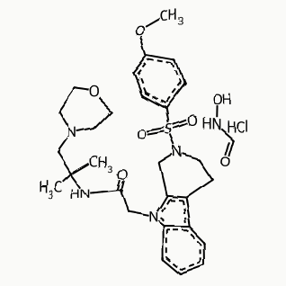 COc1ccc(S(=O)(=O)N2CCc3c(n(CC(=O)NC(C)(C)CN4CCOCC4)c4ccccc34)C2)cc1.Cl.O=CNO